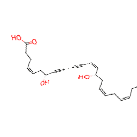 CC/C=C\C/C=C\C[C@H](O)/C=C\C#CC#C[C@H](O)C/C=C\CCC(=O)O